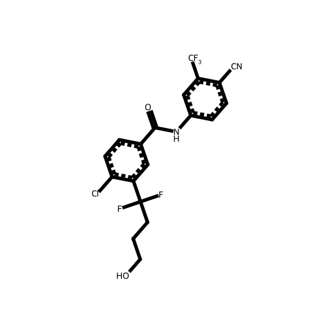 N#Cc1ccc(NC(=O)c2ccc(Cl)c(C(F)(F)CCCO)c2)cc1C(F)(F)F